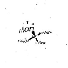 CCCCCCCCC[P+](CCCCCC)(CCCCCC)CCCCCCCCC.[I-]